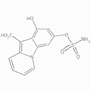 NS(=O)(=O)Oc1cc(O)c2c(C(=O)O)c3ccccn3c2c1